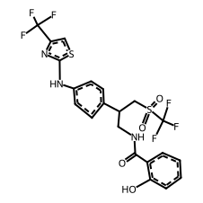 O=C(NCC(CS(=O)(=O)C(F)(F)F)c1ccc(Nc2nc(C(F)(F)F)cs2)cc1)c1ccccc1O